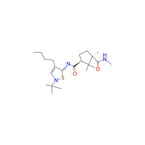 CCCCc1cn(C(C)(C)C)s/c1=N\C(=O)[C@H]1CC[C@@](C)(C(=O)NC)C1(C)C